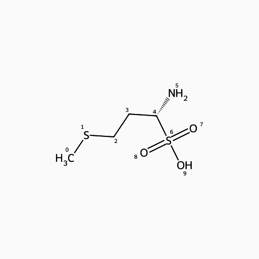 CSCC[C@H](N)S(=O)(=O)O